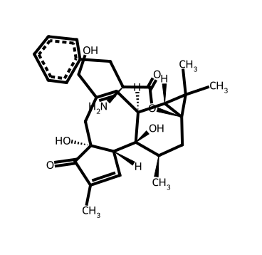 CC1=C[C@H]2[C@@]3(O)[C@H](C)C[C@]4(OC(=O)[C@@H](N)Cc5ccccc5)[C@H]([C@@H]3C=C(CO)C[C@]2(O)C1=O)C4(C)C